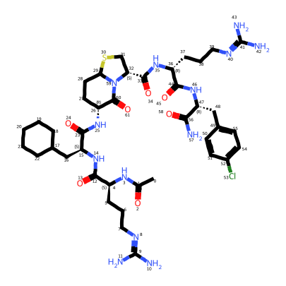 CC(=O)N[C@@H](CCCN=C(N)N)C(=O)N[C@@H](CC1CCCCC1)C(=O)N[C@@H]1CCC2SC[C@H](C(=O)N[C@H](CCCN=C(N)N)C(=O)N[C@H](Cc3ccc(Cl)cc3)C(N)=O)N2C1=O